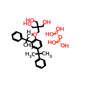 CC(C)(c1ccccc1)c1ccc(OCC(CO)(CO)CO)c(C(C)(C)c2ccccc2)c1.OP(O)OP(O)O